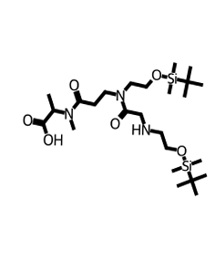 CC(C(=O)O)N(C)C(=O)CCN(CCO[Si](C)(C)C(C)(C)C)C(=O)CNCCO[Si](C)(C)C(C)(C)C